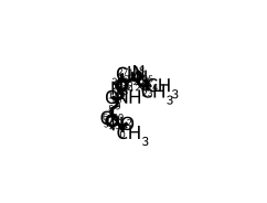 CC(=O)N1CCOC(CCC(=O)Nc2cc(-c3cnn4c3CC(C)(C)C4)c(Cl)cn2)C1